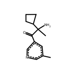 Cc1cncc(C(=O)C(C)(N)C2CCC2)c1